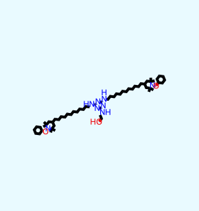 CC1(C)CC(CCCCCCCCCCCCNc2nc(NCCO)nc(NCCCCCCCCCCCCC3CC(C)(C)N(OC4CCCCC4)C(C)(C)C3)n2)CC(C)(C)N1OC1CCCCC1